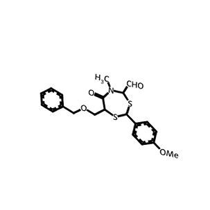 COc1ccc(C2SC(COCc3ccccc3)C(=O)N(C)C(C=O)S2)cc1